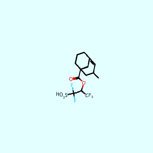 CC1C=C2CCCC(C(=O)OC(C(F)(F)F)C(F)(F)S(=O)(=O)O)(C2)C1